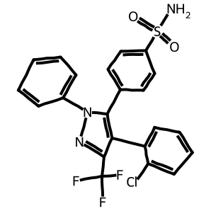 NS(=O)(=O)c1ccc(-c2c(-c3ccccc3Cl)c(C(F)(F)F)nn2-c2ccccc2)cc1